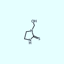 OCN1CCNC1=S